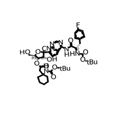 CC(C)(C)OC(=O)N[C@@H](Cc1ccc(F)cc1)C(=O)Nc1ncnn2c([C@]3(C#N)O[C@H](CO)[C@@H](OC(=O)CC4(NC(=O)OC(C)(C)C)CCCCC4)[C@H]3O)ccc12